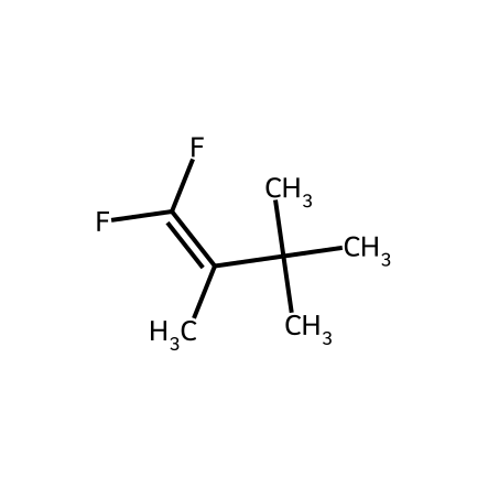 CC(=C(F)F)C(C)(C)C